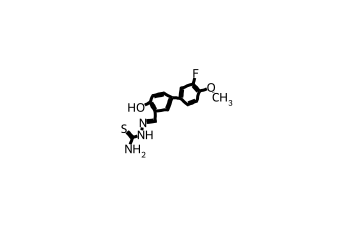 COc1ccc(-c2ccc(O)c(/C=N/NC(N)=S)c2)cc1F